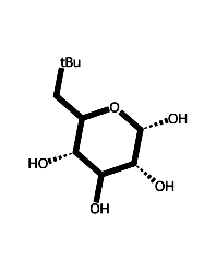 CC(C)(C)CC1O[C@H](O)[C@H](O)C(O)[C@@H]1O